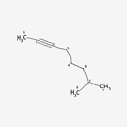 CC#CCCC[C](C)C